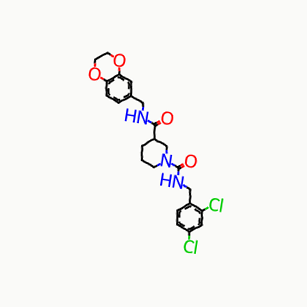 O=C(NCc1ccc2c(c1)OCCO2)C1CCCN(C(=O)NCc2ccc(Cl)cc2Cl)C1